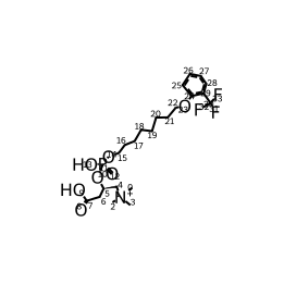 C[N+](C)(C)C[C@@H](CC(=O)O)OP(=O)(O)OCCCCCCCCOc1ccccc1C(F)(F)F